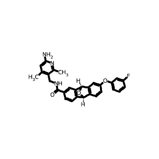 Cc1cc(N)nc(C)c1CNC(=O)c1ccc2c(c1)[C@@H]1O[C@H]2c2ccc(Oc3cccc(F)c3)cc21